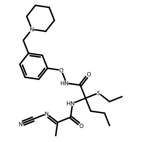 CCCC(NC(=O)C(C)=NC#N)(SCC)C(=O)NOc1cccc(CN2CCCCC2)c1